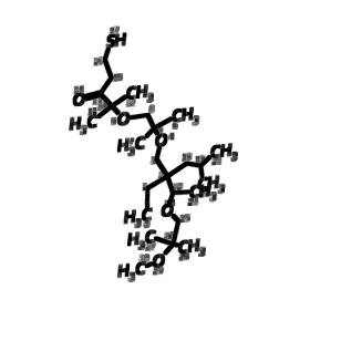 CCC(COC(C)(C)COC(C)(C)C(=O)CCS)(CC(C)C)C(C)OCC(C)(C)OC